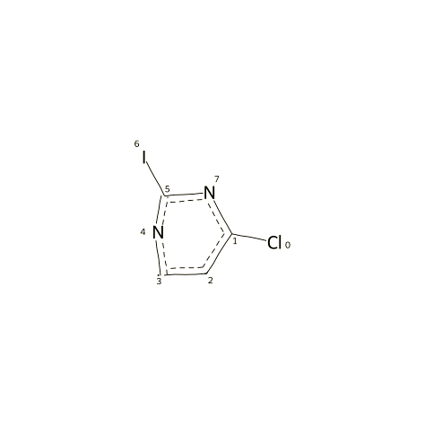 Clc1c[c]nc(I)n1